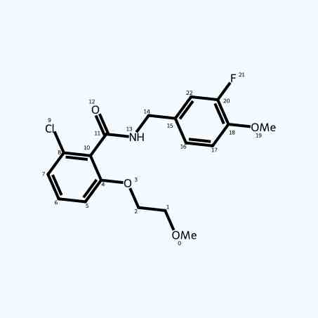 COCCOc1cccc(Cl)c1C(=O)NCc1ccc(OC)c(F)c1